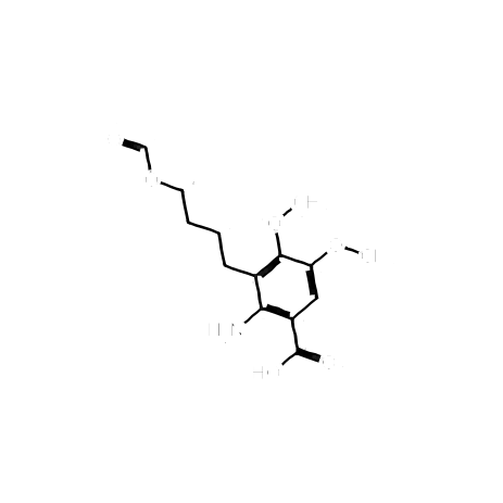 COc1cc(C(=O)O)c(N)c(CCCCOC=O)c1OC